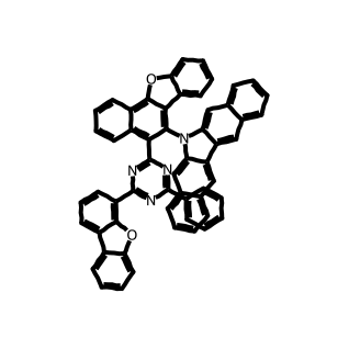 c1ccc(-c2nc(-c3c(-n4c5cc6ccccc6cc5c5cc6ccccc6cc54)c4c5ccccc5oc4c4ccccc34)nc(-c3cccc4c3oc3ccccc34)n2)cc1